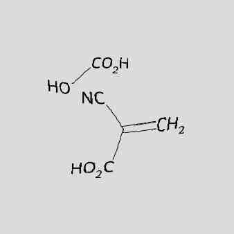 C=C(C#N)C(=O)O.O=C(O)O